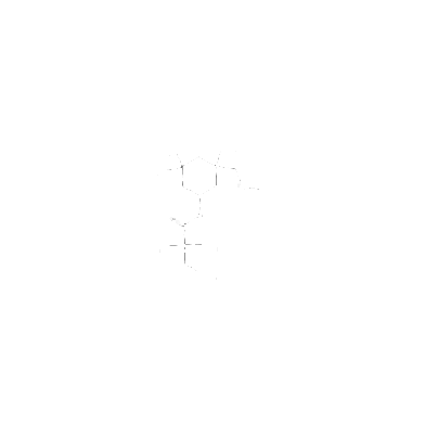 CCC(C)(C)C(=O)NC1CC(C)(C)CC(C)(CNC)C1